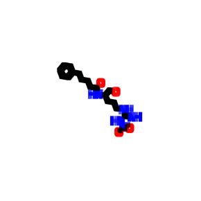 N=C(NCCCC(C=O)NC(=O)CCCCc1ccccc1)N[N+](=O)[O-]